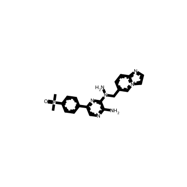 CP(C)(=O)c1ccc(-c2cnc(N)c(N(N)Cc3ccc4nccn4c3)n2)cc1